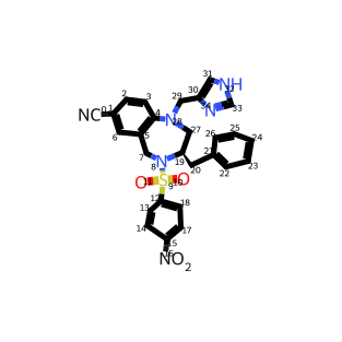 N#Cc1ccc2c(c1)CN(S(=O)(=O)c1ccc([N+](=O)[O-])cc1)[C@H](Cc1ccccc1)CN2Cc1c[nH]cn1